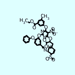 CCOC(=O)c1cc(C)cc(Oc2nc(Oc3cc(C#N)ccc3Oc3ccccc3)nc(OC(CC3=CCC(=S(=O)=O)C=C3)C(=O)O)c2[N+](=O)[O-])c1